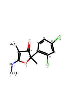 CC(=O)OC1=C(NC(=O)O)OC(C)(c2ccc(Cl)cc2Cl)C1=O